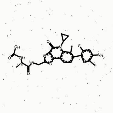 Cc1c(-c2cc(F)c(N)cc2F)ccc2c3oc(CNC(=O)[C@@H](C)NC(=O)O)nc3c(=O)n(C3CC3)c12